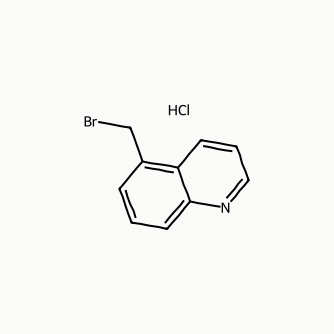 BrCc1cccc2ncccc12.Cl